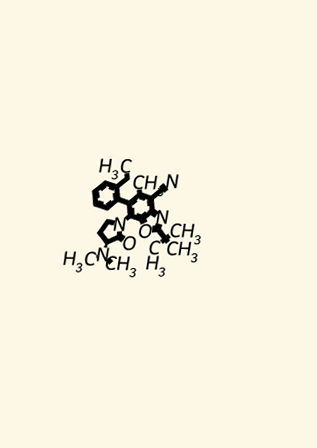 CCc1ccccc1-c1c(C)c(C#N)c2nc(C(C)(C)C)oc2c1N1CC[C@H](N(C)C)C1=O